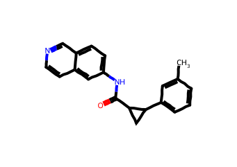 Cc1cccc(C2CC2C(=O)Nc2ccc3cnccc3c2)c1